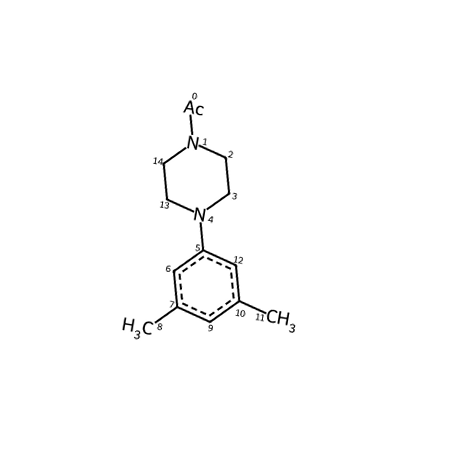 CC(=O)N1CCN(c2cc(C)cc(C)c2)CC1